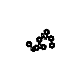 c1ccc(-c2cccc(-c3nc(-c4cccc(-n5c6ccccc6c6cc7ccn(-c8ccccc8)c7cc65)c4)nc4ccccc34)c2)cc1